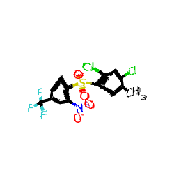 Cc1cc(S(=O)(=O)c2ccc(C(F)(F)F)cc2[N+](=O)[O-])c(Cl)cc1Cl